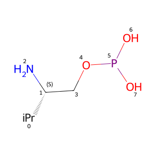 CC(C)[C@H](N)COP(O)O